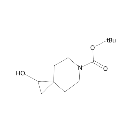 CC(C)(C)OC(=O)N1CCC2(CC1)CC2O